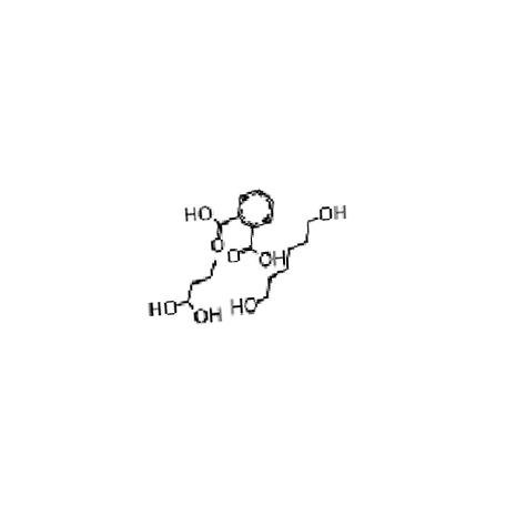 CCCC(O)O.O=C(O)c1ccccc1C(=O)O.OCCCCCCO